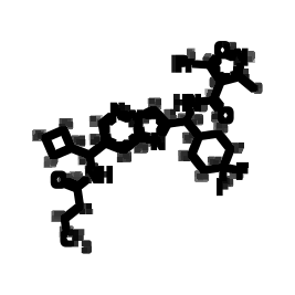 Cc1noc(C(C)C)c1C(=O)N[C@H](c1cn2ncc(C(NC(=O)CCC(F)(F)F)C3CCC3)cc2n1)C1CCC(F)(F)CC1